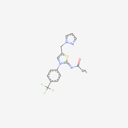 CC(=O)/N=c1\sc(Cn2cccn2)cn1-c1ccc(C(F)(F)F)cc1